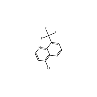 FC(F)(F)c1cccc2c(Cl)[c]cnc12